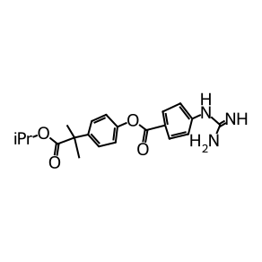 CC(C)OC(=O)C(C)(C)c1ccc(OC(=O)c2ccc(NC(=N)N)cc2)cc1